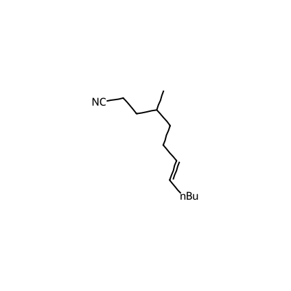 CCCC/C=C/CCC(C)CCC#N